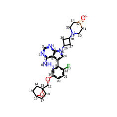 Nc1ncnc2c1c(-c1cc(OCC34CCC(CC3)O4)ccc1F)cn2C1CC(N2CC[S+]([O-])CC2)C1